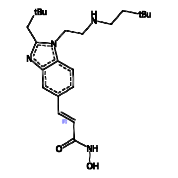 CC(C)(C)CCNCCn1c(CC(C)(C)C)nc2cc(/C=C/C(=O)NO)ccc21